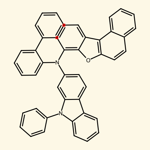 c1ccc(-c2ccccc2N(c2ccc3c4ccccc4n(-c4ccccc4)c3c2)c2cccc3c2oc2ccc4ccccc4c23)cc1